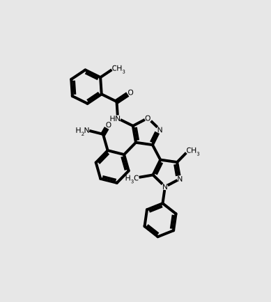 Cc1ccccc1C(=O)Nc1onc(-c2c(C)nn(-c3ccccc3)c2C)c1-c1ccccc1C(N)=O